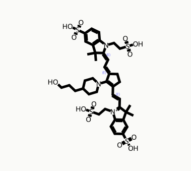 CC1(C)C(/C=C/C2=C(N3CCC(CCCO)CC3)C(=C/C=C3/N(CCS(=O)(=O)O)c4ccc(S(=O)(=O)O)cc4C3(C)C)/CC2)=[N+](CCS(=O)(=O)O)c2ccc(S(=O)(=O)O)cc21